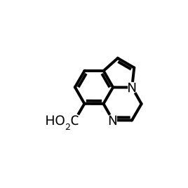 O=C(O)c1ccc2ccn3c2c1N=CC3